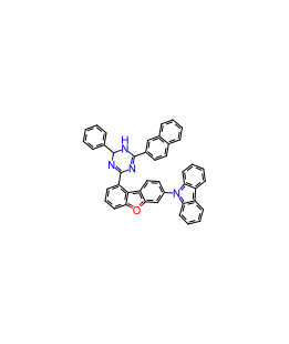 c1ccc(C2N=C(c3cccc4oc5cc(-n6c7ccccc7c7ccccc76)ccc5c34)N=C(c3ccc4ccccc4c3)N2)cc1